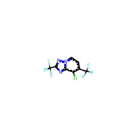 FC(F)(F)c1nc2c(Cl)c(C(F)(F)F)ccn2n1